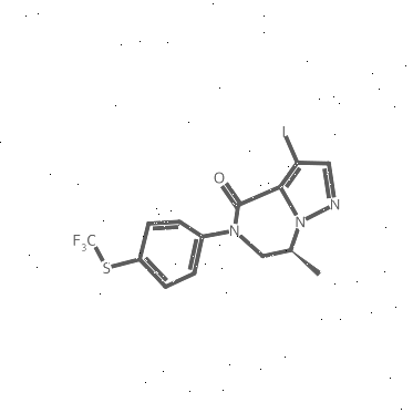 C[C@H]1CN(c2ccc(SC(F)(F)F)cc2)C(=O)c2c(I)cnn21